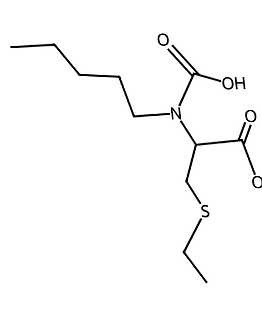 CCCCCN(C(=O)O)C(CSCC)C(=O)O